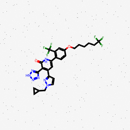 O=c1[nH]c(-c2ccc(OCCCCCC(F)(F)F)cc2C(F)(F)F)cc(-c2ccn(CC3CC3)n2)c1-c1nn[nH]n1